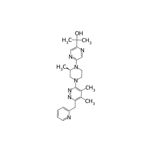 Cc1c(Cc2ccccn2)nnc(N2CCN(c3cnc(C(C)(C)O)cn3)[C@H](C)C2)c1C